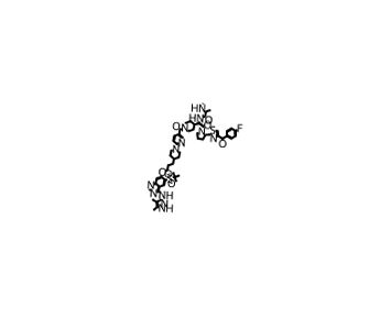 CNC(C)C(=O)N[C@H](C(=O)N1CCCC1c1nc(C(=O)c2ccc(F)cc2)cs1)C1CCN(C(=O)c2ccc(N3CCC(CCCOc4cc5ncnc(Nc6n[nH]c(C)c6C)c5cc4S(=O)(=O)C(C)(C)C)CC3)nc2)CC1